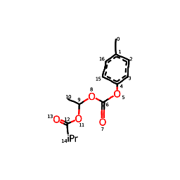 Cc1ccc(OC(=O)OC(C)OC(=O)C(C)C)cc1